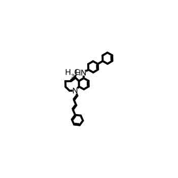 C/C1=C\CCCN(/C=C/C=C/C2=CC=CCC2)C2CC=CC(NC3CC=C(C4CC=CCC4)CC3)C12